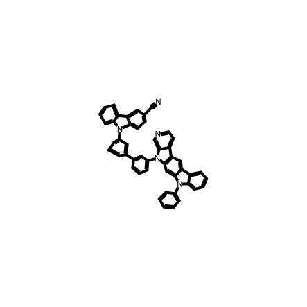 N#Cc1ccc2c(c1)c1ccccc1n2-c1cccc(-c2cccc(-n3c4cnccc4c4cc5c6ccccc6n(-c6ccccc6)c5cc43)c2)c1